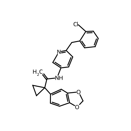 C=C(Nc1ccc(Cc2ccccc2Cl)nc1)C1(c2ccc3c(c2)OCO3)CC1